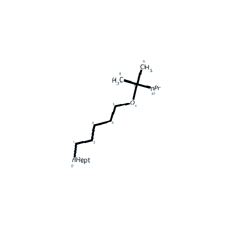 CCCCCCCCCCCCOC(C)(C)CCC